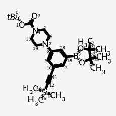 CC(C)(C)OC(=O)N1CCN(c2cc(C#C[Si](C)(C)C)cc(B3OC(C)(C)C(C)(C)O3)c2)CC1